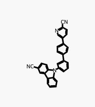 N#Cc1ccc2c(c1)c1ccccc1n2-c1cccc(-c2ccc(-c3ccc(C#N)nc3)cc2)c1